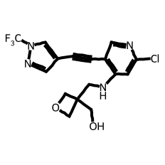 OCC1(CNc2cc(Cl)ncc2C#Cc2cnn(C(F)(F)F)c2)COC1